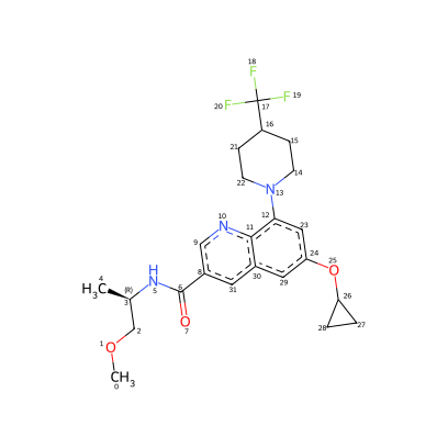 COC[C@@H](C)NC(=O)c1cnc2c(N3CCC(C(F)(F)F)CC3)cc(OC3CC3)cc2c1